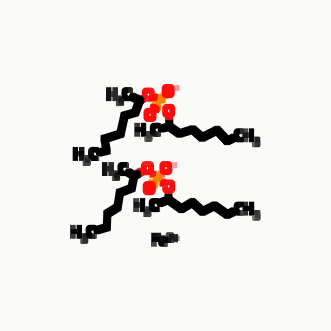 CCCCCCC(C)OP(=O)([O-])OC(C)CCCCCC.CCCCCCC(C)OP(=O)([O-])OC(C)CCCCCC.[Fe+2]